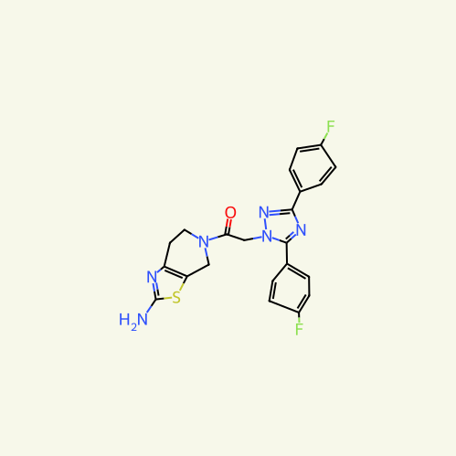 Nc1nc2c(s1)CN(C(=O)Cn1nc(-c3ccc(F)cc3)nc1-c1ccc(F)cc1)CC2